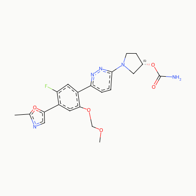 COCOc1cc(-c2cnc(C)o2)c(F)cc1-c1ccc(N2CC[C@H](OC(N)=O)C2)nn1